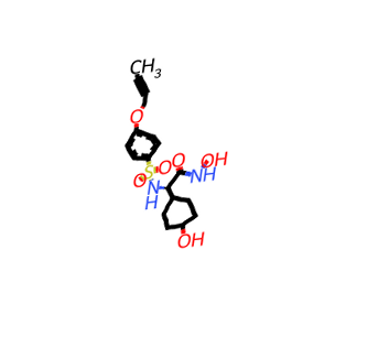 CC#CCOc1ccc(S(=O)(=O)N[C@@H](C(=O)NO)C2CCC(O)CC2)cc1